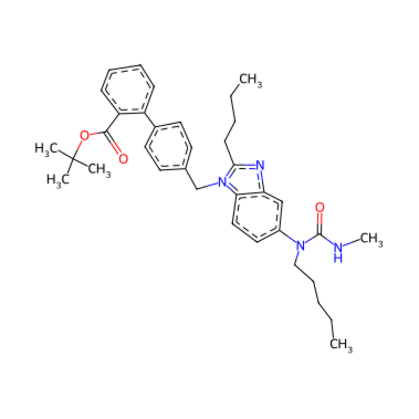 CCCCCN(C(=O)NC)c1ccc2c(c1)nc(CCCC)n2Cc1ccc(-c2ccccc2C(=O)OC(C)(C)C)cc1